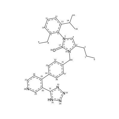 CCCc1cn(-c2c(CC)cccc2C(C)C)c(=O)n1Cc1ccc(-c2ccncc2-c2nnn[nH]2)cc1